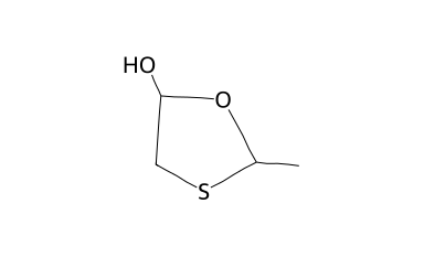 CC1OC(O)CS1